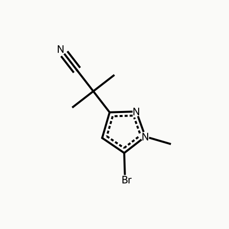 Cn1nc(C(C)(C)C#N)cc1Br